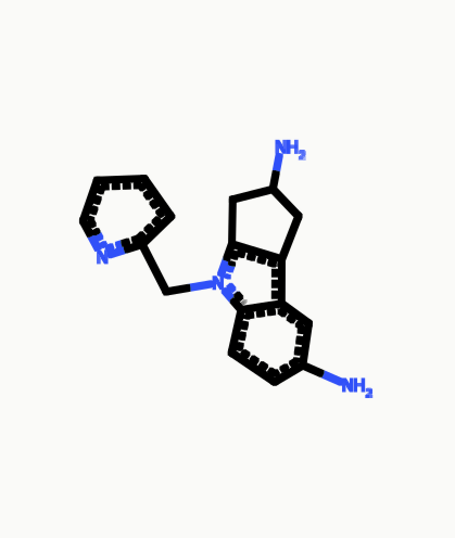 Nc1ccc2c(c1)c1c(n2Cc2ccccn2)CC(N)C1